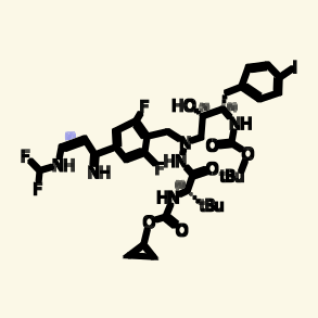 CC(C)(C)OC(=O)N[C@@H](Cc1ccc(I)cc1)[C@@H](O)CN(Cc1c(F)cc(C(=N)/C=C\NC(F)F)cc1F)NC(=O)[C@@H](NC(=O)OC1CC1)C(C)(C)C